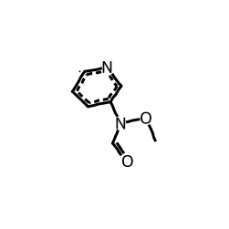 CON(C=O)c1cc[c]nc1